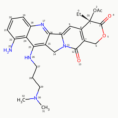 CC[C@@]1(OC(C)=O)C(=O)OCc2c1cc1n(c2=O)Cc2c-1nc1cccc(N)c1c2NCCCN(C)C